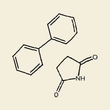 O=C1CCC(=O)N1.c1ccc(-c2ccccc2)cc1